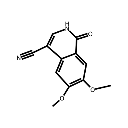 COc1cc2c(C#N)c[nH]c(=O)c2cc1OC